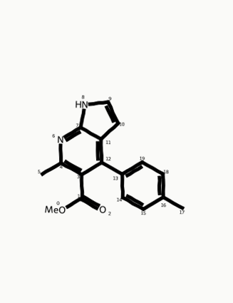 COC(=O)c1c(C)nc2[nH]ccc2c1-c1ccc(C)cc1